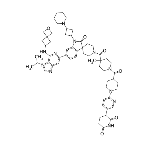 CC(C)n1cnc2cc(-c3ccc4c(c3)N(C3CC(N5CCCCC5)C3)C(=O)C43CCN(C(=O)C4(C)CCN(C(=O)C5CCN(c6ccc(C7CCC(=O)NC7=O)cn6)CC5)CC4)CC3)nc(NC3CC4(COC4)C3)c21